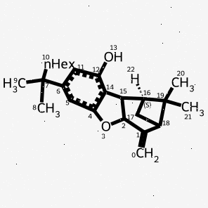 C=C1C2Oc3cc(C(C)(C)CCCCCC)cc(O)c3C2[C@@H]2CC1C2(C)C